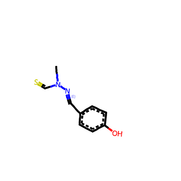 CN(C=S)/N=C/c1ccc(O)cc1